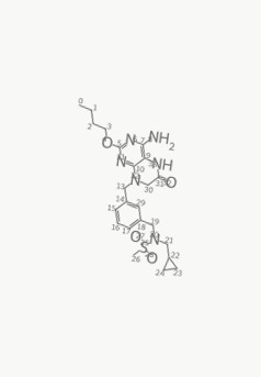 CCCCOc1nc(N)c2c(n1)N(Cc1cccc(CN(CC3CC3)S(C)(=O)=O)c1)CC(=O)N2